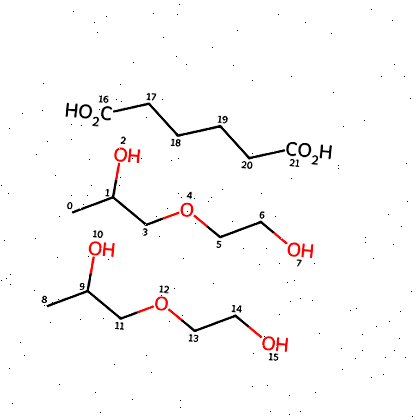 CC(O)COCCO.CC(O)COCCO.O=C(O)CCCCC(=O)O